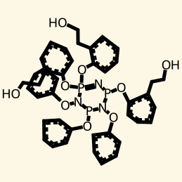 OCCc1ccccc1OP1N=P(Oc2ccccc2CCO)(Oc2ccccc2CCO)N(Oc2ccccc2)P(Oc2ccccc2)N1Oc1ccccc1